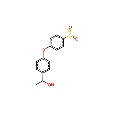 CC(O)c1ccc(Oc2ccc([SH](=O)=O)cc2)cc1